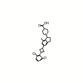 Cc1cc(C2CN(c3c(Cl)cccc3Cl)C2)cc2c1C(N1CCC(C(=O)O)CC1)CC2